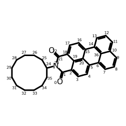 O=C1c2ccc3c4cccc5cccc(c6ccc(c2c36)C(=O)N1C1CCCCCCCCCCC1)c54